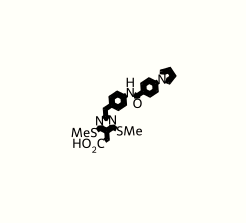 CSc1nc(Cc2ccc(NC(=O)c3ccc(-n4cccc4)cc3)cc2)nc(SC)c1CC(=O)O